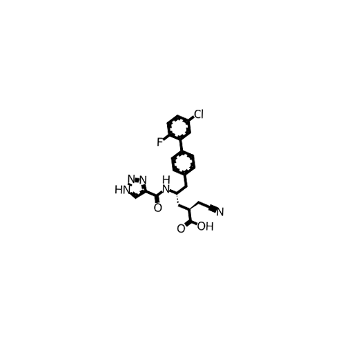 N#CC[C@H](C[C@@H](Cc1ccc(-c2cc(Cl)ccc2F)cc1)NC(=O)c1c[nH]nn1)C(=O)O